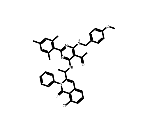 COc1ccc(CNc2nc(-c3c(C)cc(C)cc3C)nc(NC(C)c3cc4cccc(Cl)c4c(=O)n3-c3ccccc3)c2C(C)=O)cc1